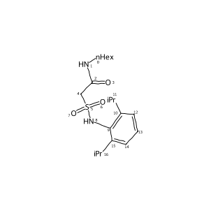 CCCCCCNC(=O)CS(=O)(=O)Nc1c(C(C)C)cccc1C(C)C